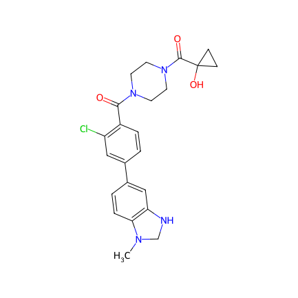 CN1CNc2cc(-c3ccc(C(=O)N4CCN(C(=O)C5(O)CC5)CC4)c(Cl)c3)ccc21